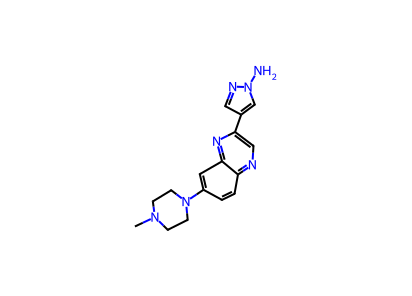 CN1CCN(c2ccc3ncc(-c4cnn(N)c4)nc3c2)CC1